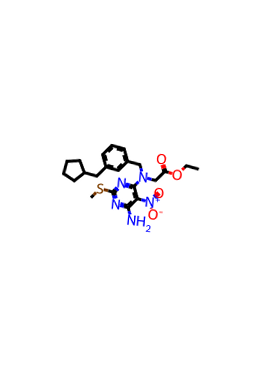 CCOC(=O)CN(Cc1cccc(CC2CCCC2)c1)c1nc(SC)nc(N)c1[N+](=O)[O-]